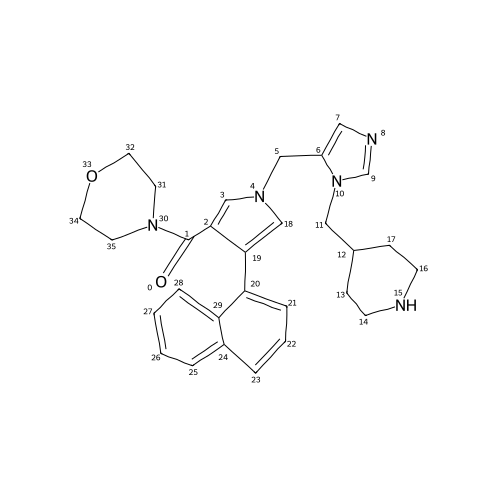 O=C(c1cn(Cc2cncn2CC2CCNCC2)cc1-c1cccc2ccccc12)N1CCOCC1